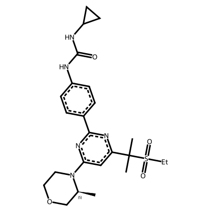 CCS(=O)(=O)C(C)(C)c1cc(N2CCOC[C@@H]2C)nc(-c2ccc(NC(=O)NC3CC3)cc2)n1